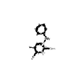 Cc1cn(Nc2ccccc2)c(=O)[nH]c1=O